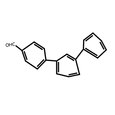 O=Cc1ccc(-c2cccc(-c3ccccc3)c2)cc1